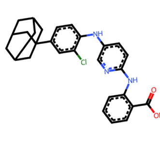 O=C(O)c1ccccc1Nc1ccc(Nc2ccc(C34CC5CC(CC(C5)C3)C4)cc2Cl)cn1